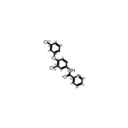 O=C(Nc1ccc(Oc2cccc(Cl)c2)c(Cl)c1)c1ccccn1